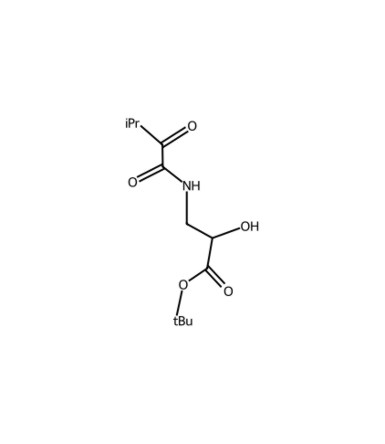 CC(C)C(=O)C(=O)NCC(O)C(=O)OC(C)(C)C